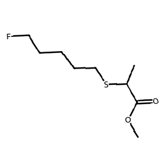 COC(=O)C(C)SCCCCCF